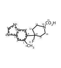 Cc1cc2ncnn2cc1C1(F)CCN(C(=O)O)CC1